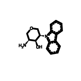 N[C@@H]1COC[C@H](n2c3ccccc3c3ccccc32)[C@H]1O